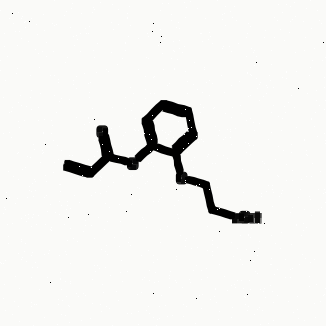 C=CC(=O)Oc1ccccc1OCCCCCCCCCC